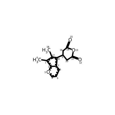 Cc1c2occcc-2c(C2CC(=O)OC(=O)C2)c1C